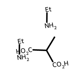 CC(C(=O)O)C(=O)O.CCN.CCN